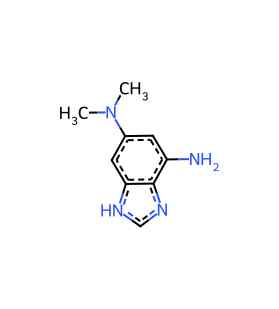 CN(C)c1cc(N)c2nc[nH]c2c1